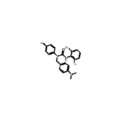 CCc1ccc(N(Cc2ccc(N(C)C)cc2)C(=O)Nc2c(C(C)C)cccc2C(C)C)cc1